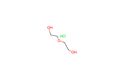 Cl.OCCOCCO